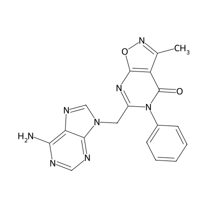 Cc1noc2nc(Cn3cnc4c(N)ncnc43)n(-c3ccccc3)c(=O)c12